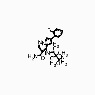 C[C@@H](Nc1c(C(N)=O)cnn2cc(-c3ccccc3F)cc12)C(C)(C)C(N)=O